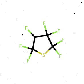 FC1C(F)(F)SC(F)(F)C1(F)F